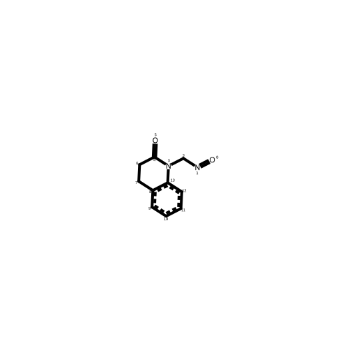 O=NCN1C(=O)CCc2ccccc21